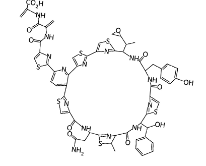 C=C(NC(=O)C(=C)NC(=O)c1csc(-c2ccc3c(n2)-c2csc(n2)-c2csc(n2)C(C(C)C2CO2)NC(=O)C(Cc2ccc(O)cc2)NC(=O)c2csc(n2)C(C(O)c2ccccc2)NC(=O)C2N=C(SC2C)C(CC(N)=O)NC(=O)c2csc-3n2)n1)C(=O)O